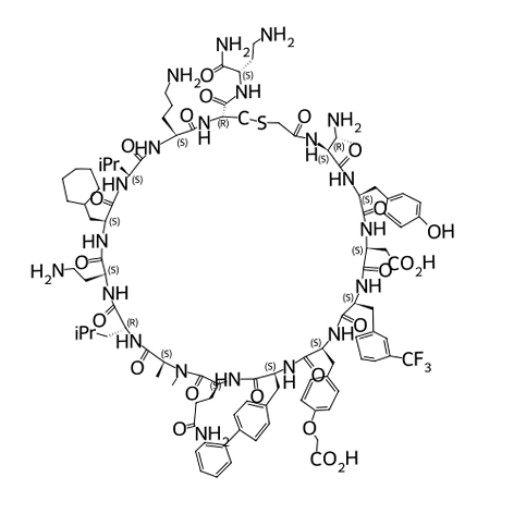 CC(C)C[C@H]1NC(=O)[C@H](C)N(C)C(=O)[C@H](CCC(N)=O)NC(=O)[C@H](Cc2ccc(-c3ccccc3)cc2)NC(=O)[C@H](Cc2ccc(OCC(=O)O)cc2)NC(=O)[C@H](Cc2cccc(C(F)(F)F)c2)NC(=O)[C@H](CC(=O)O)NC(=O)[C@H](Cc2ccc(O)cc2)NC(=O)[C@H]([C@@H](C)N)NC(=O)CSC[C@@H](C(=O)N[C@@H](CCN)C(N)=O)NC(=O)[C@H](CCCN)NC(=O)[C@H](C(C)C)NC(=O)[C@H](CC2CCCCC2)NC(=O)[C@H](CCN)NC1=O